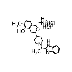 Cc1ccc2c(c1O)C[C@@H](C1CCN(C(C)c3nc4ccccc4[nH]3)CC1)O[C@H]2CN.Cl.Cl.Cl